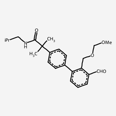 COCOCc1c(C=O)cccc1-c1ccc(C(C)(C)C(=O)NCC(C)C)cc1